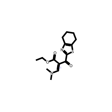 CCOC(=O)/C(=C\N(C)C)C(=O)c1nc2c(s1)CCCC2